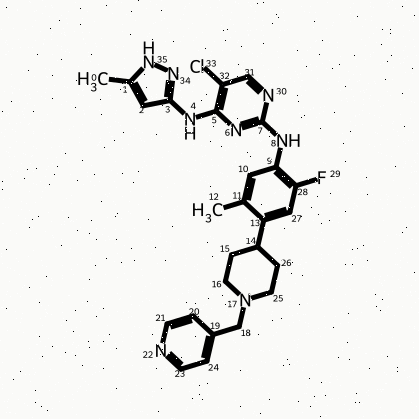 Cc1cc(Nc2nc(Nc3cc(C)c(C4CCN(Cc5ccncc5)CC4)cc3F)ncc2Cl)n[nH]1